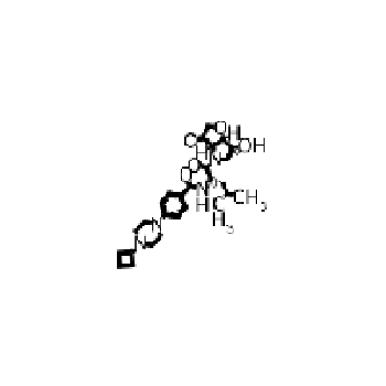 CC(C)C[C@H](NC(=O)c1ccc(N2CCN(C3CCC3)CC2)cc1)C(=O)N1C[C@H](O)[C@H]2OCC(=O)[C@H]21